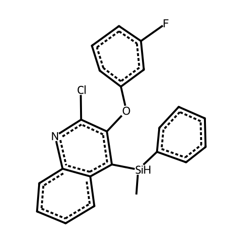 C[SiH](c1ccccc1)c1c(Oc2cccc(F)c2)c(Cl)nc2ccccc12